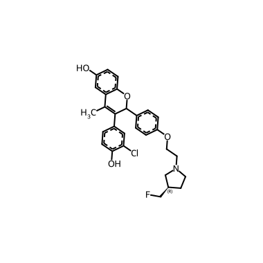 CC1=C(c2ccc(O)c(Cl)c2)C(c2ccc(OCCN3CC[C@@H](CF)C3)cc2)Oc2ccc(O)cc21